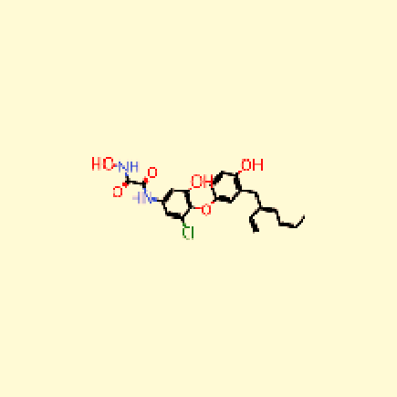 C=C/C(=C\C=C/C)Cc1cc(Oc2c(O)cc(NC(=O)C(=O)NO)cc2Cl)ccc1O